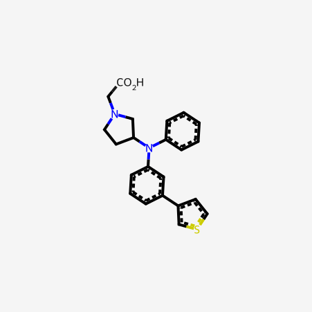 O=C(O)CN1CCC(N(c2ccccc2)c2cccc(-c3ccsc3)c2)C1